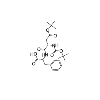 CC(C)(C)OC(=O)CC(NC(=O)OC(C)(C)C)C(=O)NC(Cc1ccccc1)C(=O)O